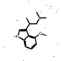 COc1cccc2[nH]cc(C(C)CN(C)C)c12